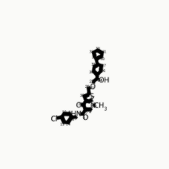 Cn1cc(C(=O)NCc2ccc(Cl)cc2)c(=O)c2cc(COC[C@@H](O)c3ccc(-c4ccccc4)cc3)sc21